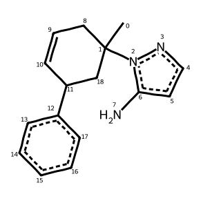 CC1(n2nccc2N)CC=CC(c2ccccc2)C1